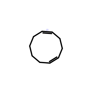 C1=CCCCC/C=C\CC1